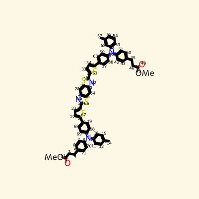 COC(=O)CCc1ccc(N(c2ccc(C)cc2)c2ccc(-c3ccc(-c4nc5cc6sc(-c7ccc(-c8ccc(N(c9ccc(CCC(=O)OC)cc9)c9cccc(C)c9)cc8)s7)nc6cc5s4)s3)cc2)cc1